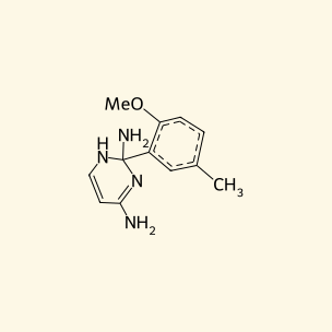 COc1ccc(C)cc1C1(N)N=C(N)C=CN1